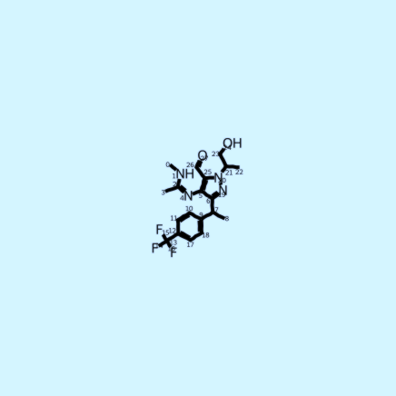 CN/C(C)=N\c1c(C(C)c2ccc(C(F)(F)F)cc2)nn(C(C)CO)c1C=O